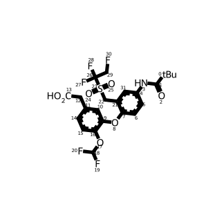 CC(C)(C)C(=O)Nc1ccc(Oc2cc(CC(=O)O)ccc2OC(F)F)c(CS(=O)(=O)C(F)(F)CF)c1